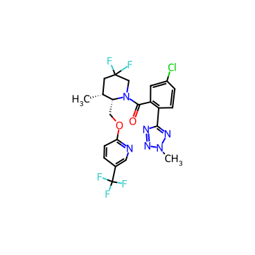 C[C@@H]1CC(F)(F)CN(C(=O)c2cc(Cl)ccc2-c2nnn(C)n2)[C@@H]1COc1ccc(C(F)(F)F)cn1